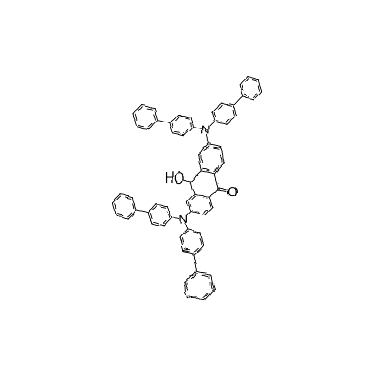 O=C1c2ccc(N(c3ccc(-c4ccccc4)cc3)c3ccc(-c4ccccc4)cc3)cc2C(O)c2cc(N(c3ccc(-c4ccccc4)cc3)c3ccc(-c4ccccc4)cc3)ccc21